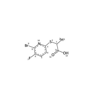 [2H]C(Sc1ccc(F)c(Br)n1)C(=O)O